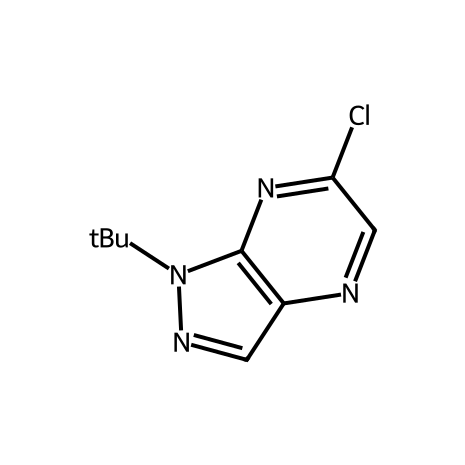 CC(C)(C)n1ncc2ncc(Cl)nc21